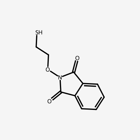 O=C1c2ccccc2C(=O)N1OCCS